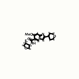 COc1cc2nc(C3CCOCC3)cn2cc1C(=O)N[C@@H]1COC[C@H]1F